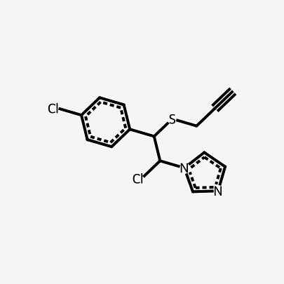 C#CCSC(c1ccc(Cl)cc1)C(Cl)n1ccnc1